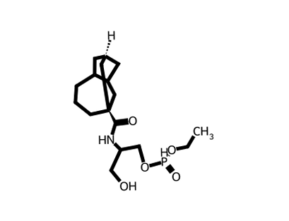 CCO[PH](=O)OCC(CO)NC(=O)[C@]12CCCC3C[C@@H](CC3C1)C2